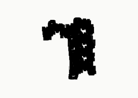 CC1c2nnc(-c3ccccn3)n2CCN1C(=O)c1cc2ncc(Br)cn2n1.CC1c2nnc(-c3ccccn3)n2CCN1C(=O)c1cc2ncc(Cl)cn2n1.O=C(c1cc2ncc(Br)cn2n1)N1CCn2c(ccc2-c2cncnc2)C1.O=C(c1cc2ncc(Br)cn2n1)N1CCn2c(nnc2-c2ccccn2)C1.O=C(c1cc2ncc(Cl)cn2n1)N1CCn2c(nnc2-c2ccccn2)C1